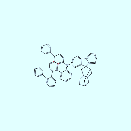 c1ccc(-c2ccc(N(c3ccc4c(c3)C3(CC5CCC6CC5CC3C6)c3ccccc3-4)c3ccccc3-c3ccccc3-c3ccccc3-c3ccccc3)cc2)cc1